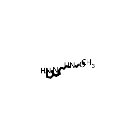 COCCNCCCCc1ccc2c(n1)NCCC2